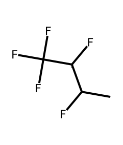 CC(F)[C](F)C(F)(F)F